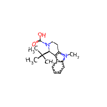 Cn1c2c(c3ccccc31)C(C(C)(C)C)N(C(=O)O)CC2